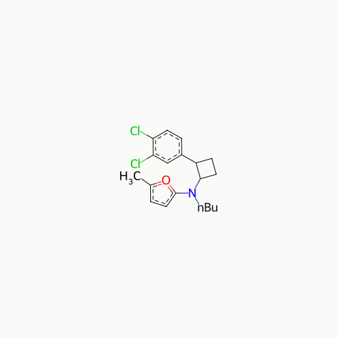 CCCCN(c1ccc(C)o1)C1CCC1c1ccc(Cl)c(Cl)c1